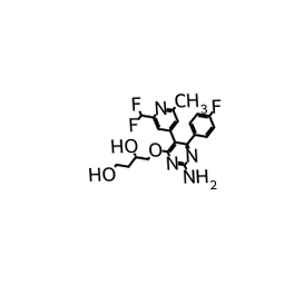 Cc1cc(-c2c(OC[C@H](O)CCO)nc(N)nc2-c2ccc(F)cc2)cc(C(F)F)n1